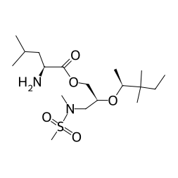 CCC(C)(C)[C@H](C)O[C@H](COC(=O)[C@@H](N)CC(C)C)CN(C)S(C)(=O)=O